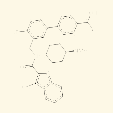 CN[C@H]1CC[C@H](N(Cc2cc(-c3ccc(C(O)C(F)(F)F)cc3)ccc2F)C(=O)c2sc3ccccc3c2Cl)CC1